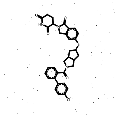 O=C1CCC(N2Cc3cc(SC4CC5CN(C(=O)c6ccccc6-c6ccc(Cl)cc6)CC5C4)ccc3C2=O)C(=O)N1